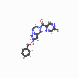 Cc1cnc(C(=O)N2CCn3nc(OCc4ccccc4)cc3C2)cn1